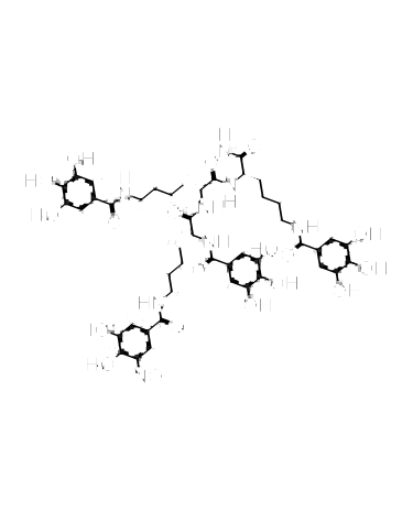 NC(=O)[C@@H](CCCCNC(=O)c1cc(O)c(O)c(O)c1)NC(=O)[C@@H](CCCCNC(=O)c1cc(O)c(O)c(O)c1)NC(=O)[C@@H](CCCCNC(=O)c1cc(O)c(O)c(N=O)c1)NC(=O)c1cc(O)c(O)c(O)c1